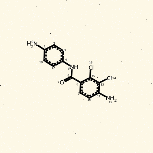 Nc1ccc(NC(=O)c2ccc(N)c(Cl)c2Cl)cc1